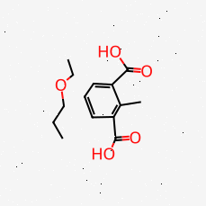 CCCOCC.Cc1c(C(=O)O)cccc1C(=O)O